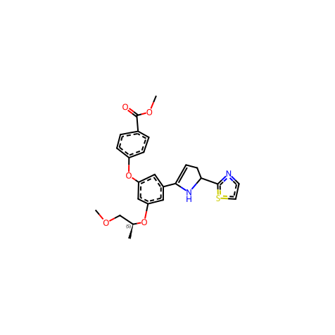 COC[C@H](C)Oc1cc(Oc2ccc(C(=O)OC)cc2)cc(C2=CCC(c3nccs3)N2)c1